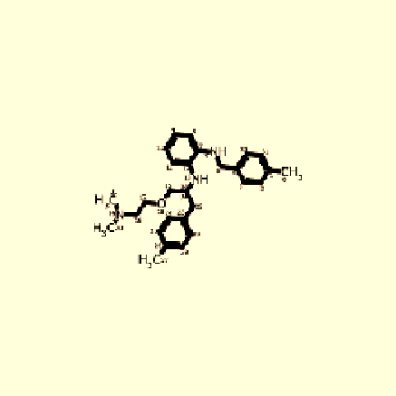 Cc1ccc(CNc2ccccc2N[C@H](COCCN(C)C)Cc2ccc(C)cc2)cc1